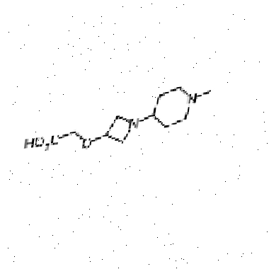 CN1CCC(N2CC(OCC(=O)O)C2)CC1